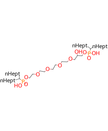 CCCCCCCC(CCCCCCC)P(=O)(O)OCCOCCOCCOCCOCC(O)COP(=O)(O)C(CCCCCCC)CCCCCCC